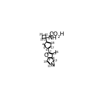 O=C(O)NC1(c2ccc(-c3oc4ccncc4c3I)cc2)CCC1